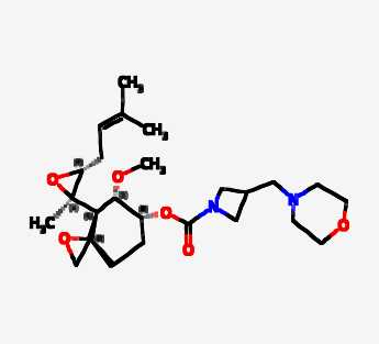 CO[C@@H]1[C@H](OC(=O)N2CC(CN3CCOCC3)C2)CC[C@]2(CO2)[C@H]1[C@@]1(C)O[C@@H]1CC=C(C)C